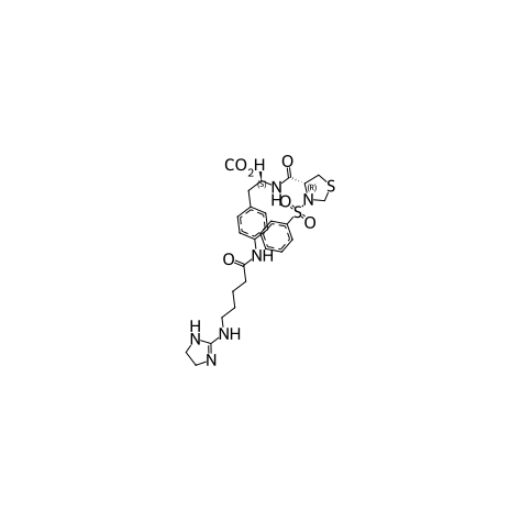 O=C(CCCCNC1=NCCN1)Nc1ccc(C[C@H](NC(=O)[C@@H]2CSCN2S(=O)(=O)c2ccccc2)C(=O)O)cc1